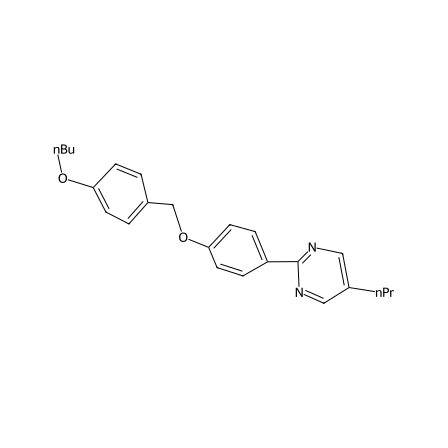 CCCCOc1ccc(COc2ccc(-c3ncc(CCC)cn3)cc2)cc1